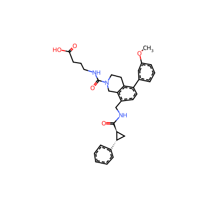 COc1cccc(-c2ccc(CNC(=O)[C@H]3C[C@@H]3c3ccccc3)c3c2CCN(C(=O)NCCCC(=O)O)C3)c1